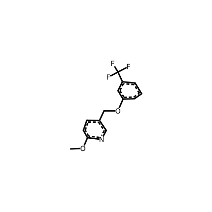 COc1ccc(COc2cccc(C(F)(F)F)c2)cn1